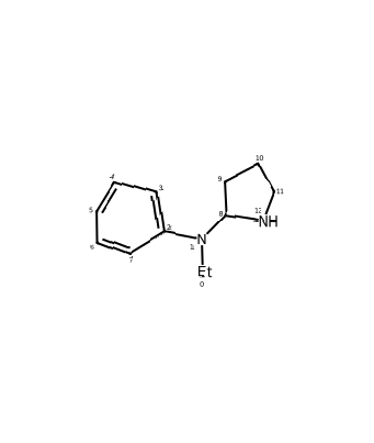 CCN(c1ccccc1)C1CCCN1